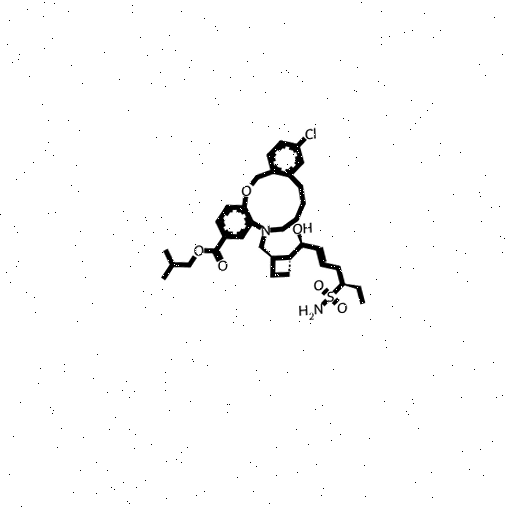 CC[C@H](C/C=C/[C@H](O)[C@@H]1CC[C@H]1CN1CCCCc2cc(Cl)ccc2COc2ccc(C(=O)OCC(C)C)cc21)S(N)(=O)=O